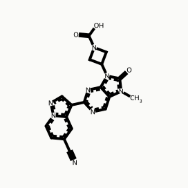 Cn1c(=O)n(C2CN(C(=O)O)C2)c2nc(-c3cnn4ccc(C#N)cc34)ncc21